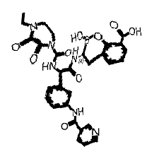 CCN1CCN(C(=O)NC(C(=O)N[C@H]2Cc3cccc(C(=O)O)c3OB2O)c2cccc(NC(=O)c3cccnc3)c2)C(=O)C1=O